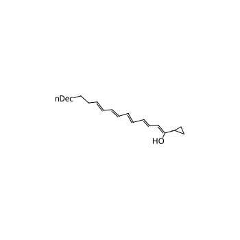 CCCCCCCCCCCCC=CC=CC=CC=CC=C(O)[C]1CC1